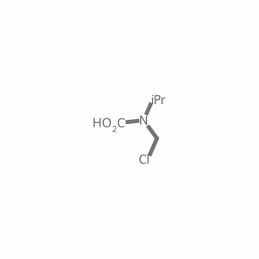 CC(C)N(CCl)C(=O)O